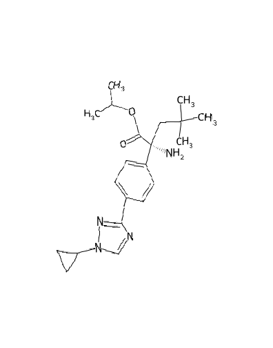 CC(C)OC(=O)[C@@](N)(CC(C)(C)C)c1ccc(-c2ncn(C3CC3)n2)cc1